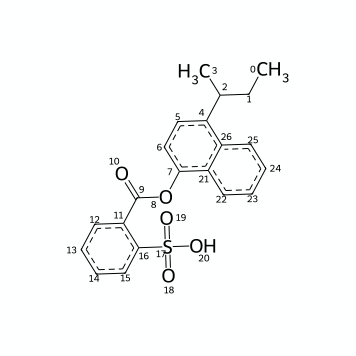 CCC(C)c1ccc(OC(=O)c2ccccc2S(=O)(=O)O)c2ccccc12